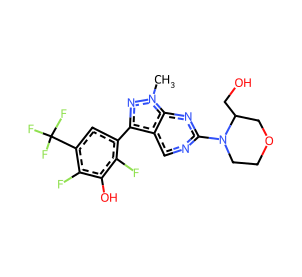 Cn1nc(-c2cc(C(F)(F)F)c(F)c(O)c2F)c2cnc(N3CCOCC3CO)nc21